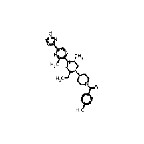 CC[C@H]1CN(c2ncc(-c3nc[nH]n3)nc2C)[C@H](C)CN1C1CCN(C(=O)c2ccc(C)cc2)CC1